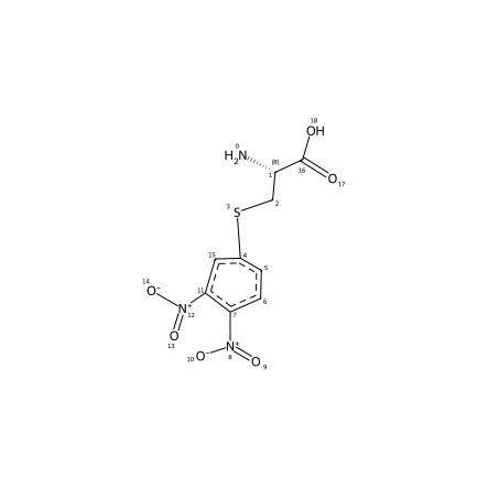 N[C@@H](CSc1ccc([N+](=O)[O-])c([N+](=O)[O-])c1)C(=O)O